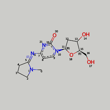 CN1CCC/C1=N/c1ccn([C@H]2CC(O)[C@@H](CO)O2)c(=O)n1